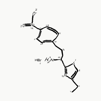 Br.CCc1csc([C@@H](N)Cc2ccc([N+](=O)[O-])cc2)n1